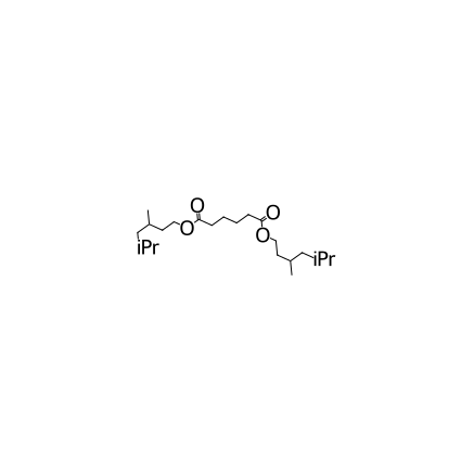 CC(C)CC(C)CCOC(=O)CCCCC(=O)OCCC(C)CC(C)C